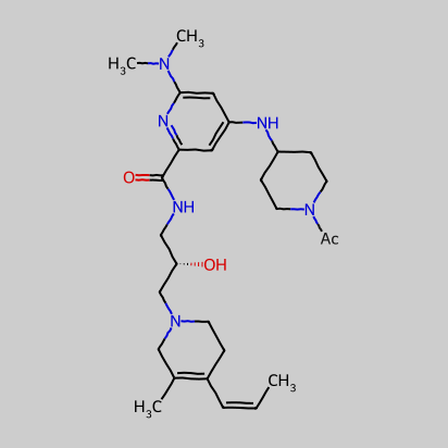 C/C=C\C1=C(C)CN(C[C@@H](O)CNC(=O)c2cc(NC3CCN(C(C)=O)CC3)cc(N(C)C)n2)CC1